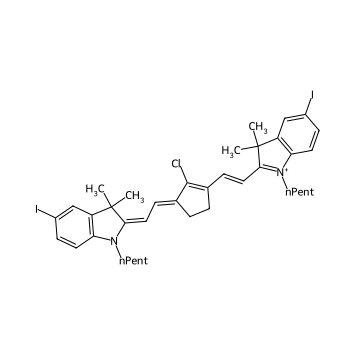 CCCCCN1/C(=C/C=C2\CCC(/C=C/C3=[N+](CCCCC)c4ccc(I)cc4C3(C)C)=C2Cl)C(C)(C)c2cc(I)ccc21